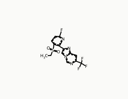 CCS(=O)(=O)c1ccc(F)nc1-c1cn2cnc(C(F)(F)F)cc2n1